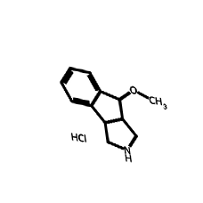 COC1c2ccccc2C2CNCC21.Cl